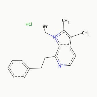 Cc1c(C)n(CC(C)C)c2c(CCc3ccccc3)nccc12.Cl